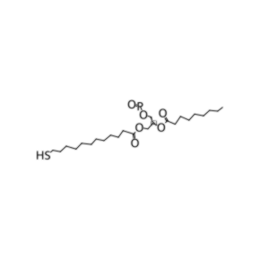 CCCCCCCCC(=O)O[C@H](COP=O)COC(=O)CCCCCCCCCCCS